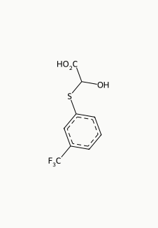 O=C(O)C(O)Sc1cccc(C(F)(F)F)c1